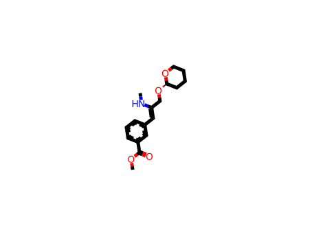 CN/C(=C\c1cccc(C(=O)OC)c1)CO[C@H]1CCCCO1